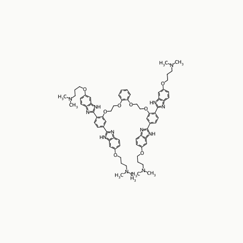 CN(C)CCCOc1ccc2nc(-c3ccc(-c4nc5ccc(OCCCN(C)C)cc5[nH]4)c(OCCOc4ccccc4OCCOc4cc(-c5nc6ccc(OCCCN(C)C)cc6[nH]5)ccc4-c4nc5ccc(OCCCN(C)C)cc5[nH]4)c3)[nH]c2c1